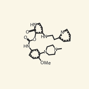 COc1ccc(NC(=O)Oc2c(NCCc3ccccn3)cc[nH]c2=O)cc1N1CCN(C)CC1